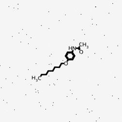 CCCCCCCCOc1ccc(NC(C)=O)cc1